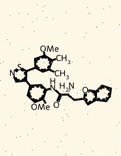 COc1ccc(-c2cnsc2-c2cc(C)c(C)c(OC)c2)cc1NC(=O)[C@H](N)Cc1cc2ccccc2o1